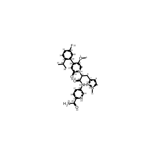 COc1cn(C(Cc2ccn(C)n2)C(=O)Nc2ccc(C(N)=O)nc2)c(=O)cc1-c1cc(F)ccc1C(C)C